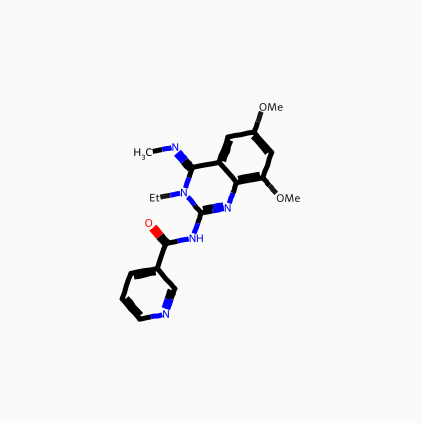 CCn1c(NC(=O)c2cccnc2)nc2c(OC)cc(OC)cc2/c1=N/C